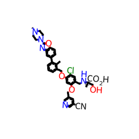 Cc1c(COc2cc(OCc3cncc(C#N)c3)c(CN[C@@](C)(CO)C(=O)O)cc2Cl)cccc1-c1ccc2oc(N3CCN(C)CC3)nc2c1